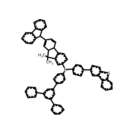 CC1(C)c2cc(N(c3ccc(-c4cc(-c5ccccc5)cc(-c5ccccc5)c4)cc3)c3ccc(-c4ccc5sc6ccccc6c5c4)cc3)ccc2C2C=CC(C3c4ccccc4-c4ccccc43)=CC21